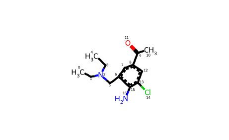 CCN(CC)Cc1cc(C(C)=O)cc(Cl)c1N